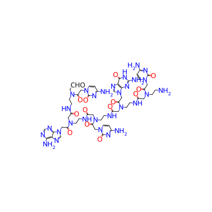 NCCN(CC(=O)NCCN(CC(=O)NCCN(CC(=O)NCCN(CC(=O)NCCN(CC=O)C(=O)Cn1ccc(N)nc1=O)C(=O)Cn1cnc2c(N)ncnc21)C(=O)Cn1ccc(N)nc1=O)C(=O)Cn1cnc2c(=O)[nH]c(N)nc21)C(=O)Cn1ccc(N)nc1=O